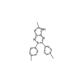 Cc1ccc(-c2nc3cc(C)[nH]c3nc2-c2ccc(C)cc2)cc1